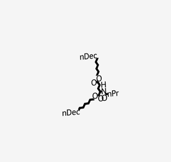 CCCCCCCCCCCCCCCCOC(=O)CCC(NC(=O)CCC)C(=O)OCCCCCCCCCCCCCCCC